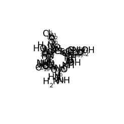 CC(O)C1NC(=O)[C@H](CCCNC(=N)N)NC(=O)[C@@H](Cc2ccc(C(N)=O)cc2)NC(=O)[C@H](Cc2ccc(O)cc2)NC(=O)[C@H](NC(=O)[C@@H](N)Cc2ccc(Cl)cc2)CSSC[C@@H](C(=O)N[C@H](Cc2ccc(O)cc2)C(N)=O)NC1=O